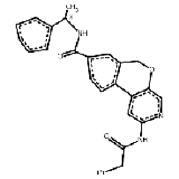 CC(C)CC(=O)Nc1cc2c(cn1)OCc1cc(C(=O)N[C@H](C)c3ccccc3)ccc1-2